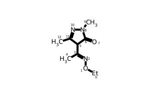 CCON=C(C)C1C(=O)N(C)N=C1C